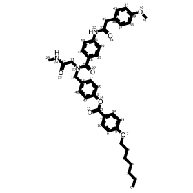 CCCCCCCOc1ccc(C(=O)Oc2ccc(CN(CC(=O)NC)C(=O)c3ccc(NC(=O)Cc4ccc(OC)cc4)cc3)cc2)cc1